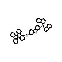 C(=C\c1cccc2c1-c1ccccc1C2(c1ccccc1)c1ccccc1)/c1ccc2c(c1)sc1cc(N(c3cccc4ccccc34)c3cccc4ccccc34)ccc12